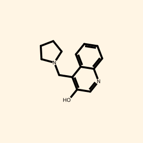 Oc1cnc2ccccc2c1CN1CCCC1